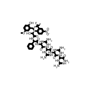 COc1ccc(O)c(CN(c2ccc([N+](=O)[O-])cc2C(F)(F)F)C(O)C(=O)NC(C(=O)NC(NC(=N)N)C(=O)NC(NC(=N)N)C(=O)NC(NC(=N)N)C(=O)NC(NC(=N)N)C(N)=O)c2ccccc2)c1